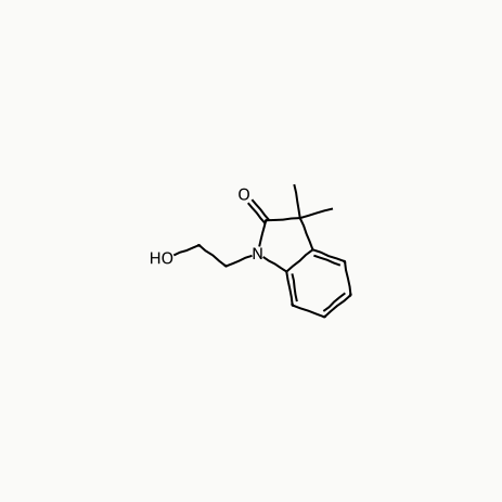 CC1(C)C(=O)N(CCO)c2ccccc21